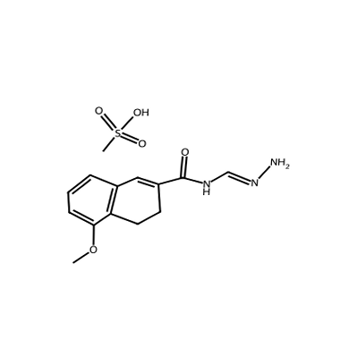 COc1cccc2c1CCC(C(=O)NC=NN)=C2.CS(=O)(=O)O